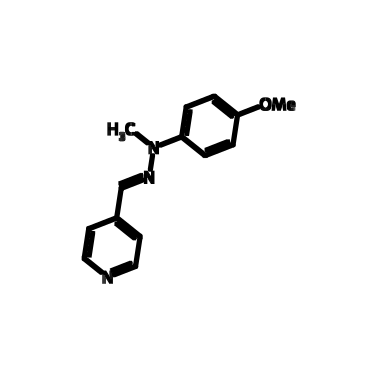 COc1ccc(N(C)/N=C/c2ccncc2)cc1